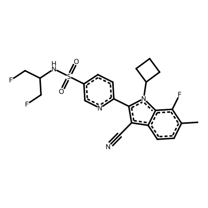 Cc1ccc2c(C#N)c(-c3ccc(S(=O)(=O)NC(CF)CF)cn3)n(C3CCC3)c2c1F